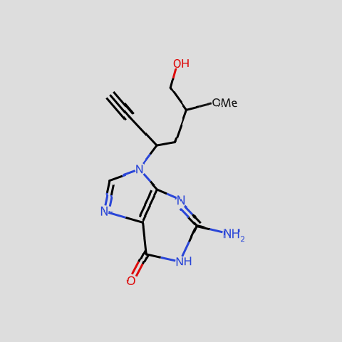 C#CC(CC(CO)OC)n1cnc2c(=O)[nH]c(N)nc21